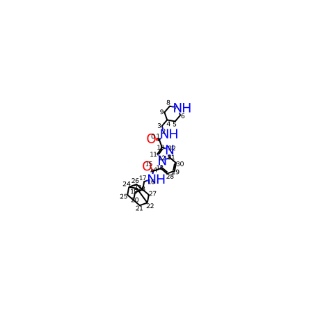 O=C(NCC1CCNCC1)c1cn2c(C(=O)NCC34CC5CC(CC(C5)C3)C4)cccc2n1